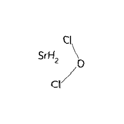 ClOCl.[SrH2]